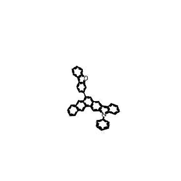 c1ccc(-n2c3ccccc3c3cc4cc(-c5ccc6c(c5)oc5ccccc56)c5cc6ccccc6cc5c4cc32)cc1